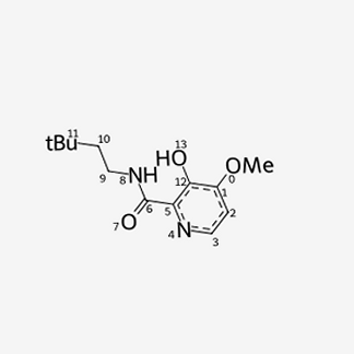 COc1ccnc(C(=O)NCCC(C)(C)C)c1O